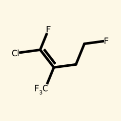 FCCC(=C(F)Cl)C(F)(F)F